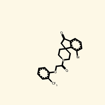 O=C1CC2(CCN(C(=O)COc3ccccc3C(F)(F)F)CC2)c2c(Br)cccc21